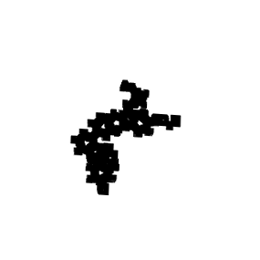 CC(=O)N1CC[C@@H]1Cn1c(Cc2ccc(-c3cccc4c3OC(C)(c3ccc(Cl)cc3F)O4)cc2F)nc2ccc(C(=O)O)cc21